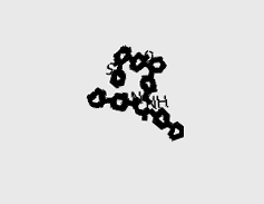 CC1=C(c2ccc(-c3ccccc3)cc2)NC(c2ccc(-c3cccc4oc5cc(-c6cccc7sc8ccccc8c67)ccc5c34)cc2)N=C(c2ccc(-c3ccccc3)cc2)C1